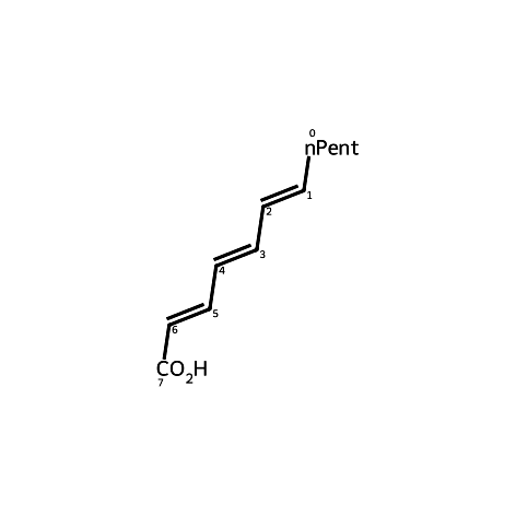 CCCCCC=CC=CC=CC(=O)O